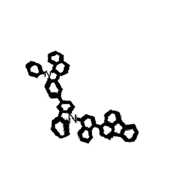 c1ccc(-n2c3ccc(-c4ccc5c(c4)c4ccccc4n5-c4ccc(-c5ccc6c7c(cccc57)-c5ccccc5-6)c5ccccc45)cc3c3ccc4ccccc4c32)cc1